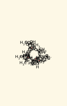 CC[C@H]1OC(=O)[C@H](C)[C@@H](O[C@H]2C[C@@](C)(OC)[C@@H](O)[C@H](C)O2)[C@H](C)[C@@H](O[C@@H]2O[C@H](C)C[C@H](N(C)CCc3cn([C@H](CF)[C@H](O)COc4ccc([N+](=O)[O-])cc4)nn3)[C@H]2O)[C@](C)(O)CC[C@@H](C)CN(C)[C@H](C)[C@@H](O)C[C@]1(C)O